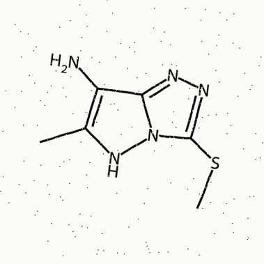 CSc1nnc2c(N)c(C)[nH]n12